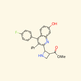 COC(=O)C1CNC1c1nc2cc(O)ccc2c(-c2ccc(F)cc2)c1C(C)C